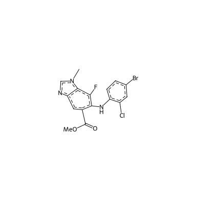 COC(=O)c1cc2ncn(C)c2c(F)c1Nc1ccc(Br)cc1Cl